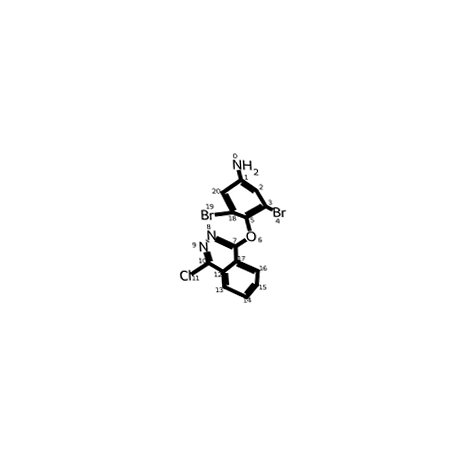 Nc1cc(Br)c(Oc2nnc(Cl)c3ccccc23)c(Br)c1